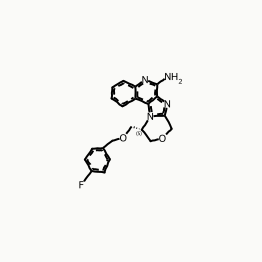 Nc1nc2ccccc2c2c1nc1n2[C@@H](COCc2ccc(F)cc2)COC1